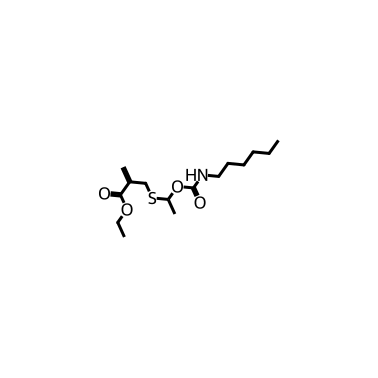 C=C(CSC(C)OC(=O)NCCCCCC)C(=O)OCC